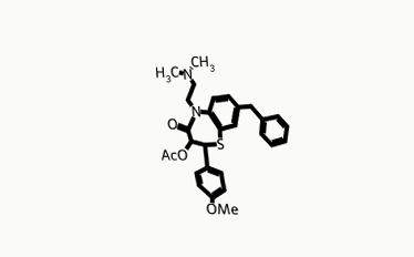 COc1ccc(C2Sc3cc(Cc4ccccc4)ccc3N(CCN(C)C)C(=O)C2OC(C)=O)cc1